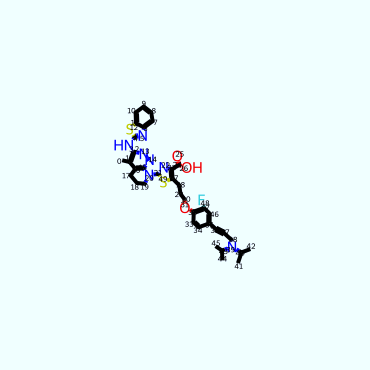 Cc1c(Nc2nc3ccccc3s2)nnc2c1CCCN2c1nc(C(=O)O)c(CCCOc2ccc(C#CCN(C(C)C)C(C)C)cc2F)s1